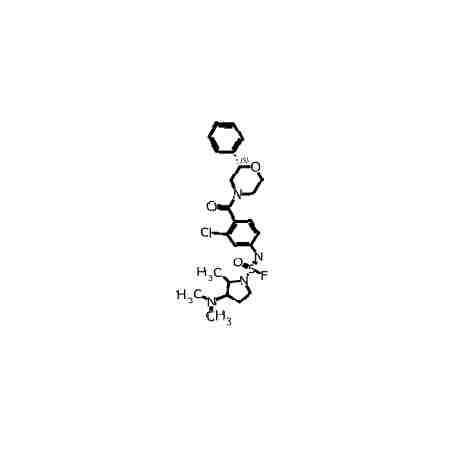 CC1C(N(C)C)CCN1S(=O)(F)=Nc1ccc(C(=O)N2CCO[C@@H](c3ccccc3)C2)c(Cl)c1